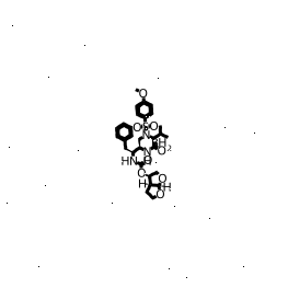 BC(=O)N[C@H](CN(CC(C)C)S(=O)(=O)c1ccc(OC)cc1)[C@H](Cc1ccccc1)NC(=O)O[C@H]1CO[C@H]2OCC[C@H]21